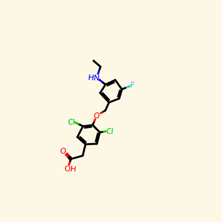 CCNc1cc(F)cc(COc2c(Cl)cc(CC(=O)O)cc2Cl)c1